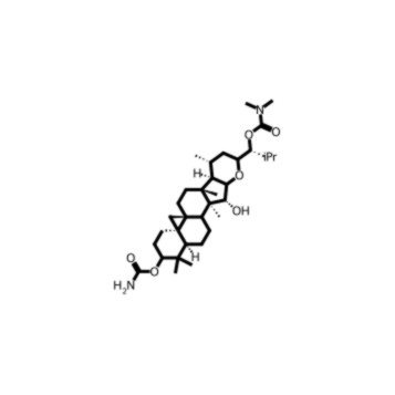 CC(C)[C@@H](OC(=O)N(C)C)C1C[C@@H](C)[C@H]2C(O1)[C@H](O)[C@@]1(C)C3CC[C@H]4C(C)(C)C(OC(N)=O)CC[C@@]45C[C@@]35CC[C@]21C